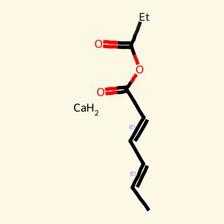 C/C=C/C=C/C(=O)OC(=O)CC.[CaH2]